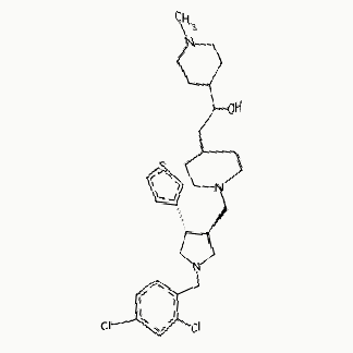 CN1CCC(C(O)CC2CCN(C[C@H]3CN(Cc4ccc(Cl)cc4Cl)C[C@@H]3c3ccsc3)CC2)CC1